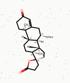 CCCCCC[C@H]1CC2=CC(=O)CC[C@]2(C)[C@H]2CC[C@@]3(C)[C@@H](CC[C@@]34CCC(=O)O4)[C@H]12